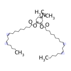 CCCC/C=C\C/C=C\CCCCCCCC(=O)O[C@@H]1CC[C@@H](N(C)C)C[C@@H]1OC(=O)CCCCCCC/C=C\C/C=C\CCCCC